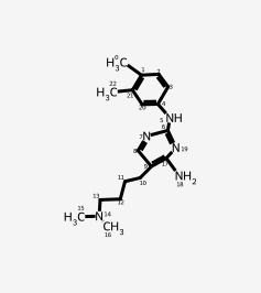 Cc1ccc(Nc2ncc(CCCCN(C)C)c(N)n2)cc1C